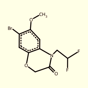 COc1cc2c(cc1Br)OCC(=O)N2CC(F)F